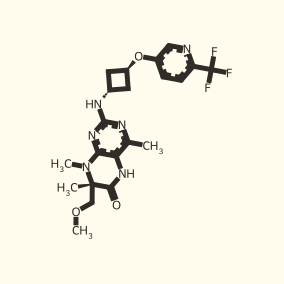 COC[C@@]1(C)C(=O)Nc2c(C)nc(N[C@H]3C[C@H](Oc4ccc(C(F)(F)F)nc4)C3)nc2N1C